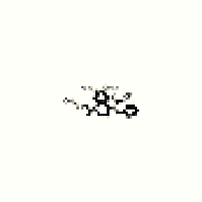 COc1cc2c(cc1OC)N(C(C)COC=O)CCC2N(Cc1ccccc1)C(=O)CC(F)(F)F